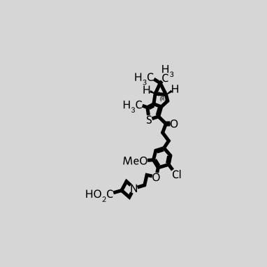 COc1cc(CCC(=O)c2sc(C)c3c2C[C@@H]2[C@H]3C2(C)C)cc(Cl)c1OCCN1CC(C(=O)O)C1